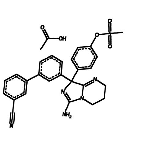 CC(=O)O.CS(=O)(=O)Oc1ccc(C2(c3cccc(-c4cccc(C#N)c4)c3)N=C(N)N3CCCN=C32)cc1